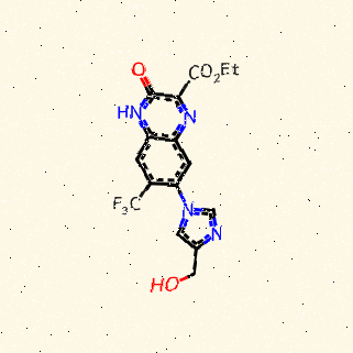 CCOC(=O)c1nc2cc(-n3cnc(CO)c3)c(C(F)(F)F)cc2[nH]c1=O